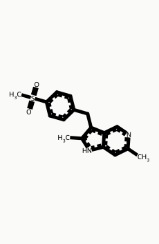 Cc1cc2[nH]c(C)c(Cc3ccc(S(C)(=O)=O)cc3)c2cn1